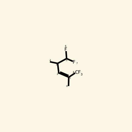 C/C(=C/C(C)C(F)F)C(F)(F)F